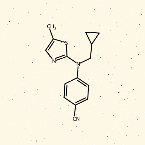 Cc1cnc(N(CC2CC2)c2ccc(C#N)cc2)s1